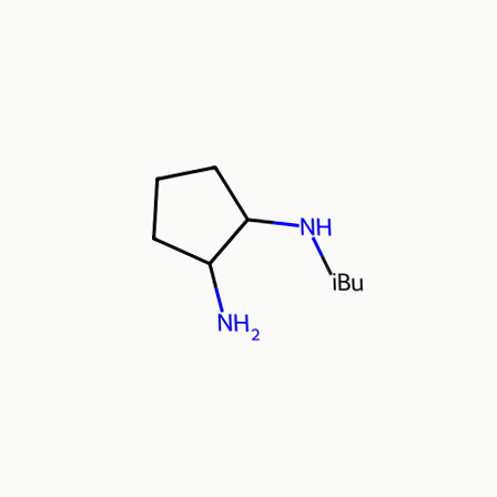 CCC(C)NC1CCCC1N